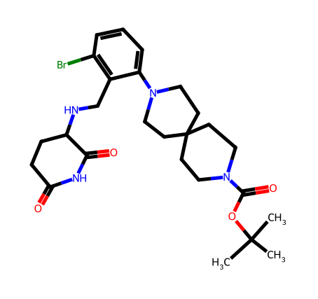 CC(C)(C)OC(=O)N1CCC2(CC1)CCN(c1cccc(Br)c1CNC1CCC(=O)NC1=O)CC2